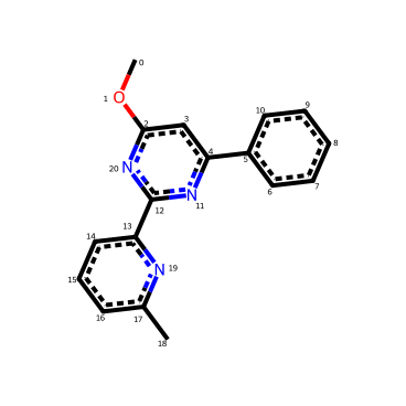 COc1cc(-c2ccccc2)nc(-c2cccc(C)n2)n1